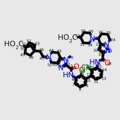 Cn1c(C(=O)Nc2cccc(-c3cccc(NC(=O)c4cc5n(n4)CCCC5N4CCC(C(=O)O)CC4)c3Cl)c2Cl)nc2c1CCN(CCC13CCC(C(=O)O)(CC1)C3)C2